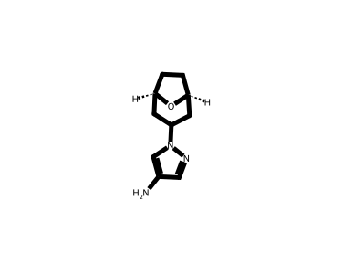 Nc1cnn(C2C[C@H]3CC[C@@H](C2)O3)c1